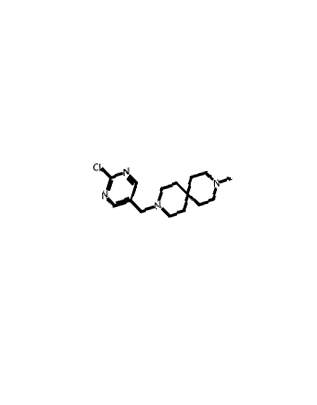 CN1CCC2(CC1)CCN(Cc1cnc(Cl)nc1)CC2